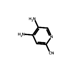 N#Cc1cc(N)c(N)cn1